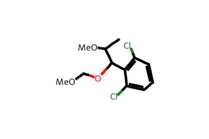 COCOC(c1c(Cl)cccc1Cl)C(C)OC